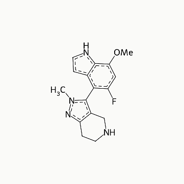 COc1cc(F)c(-c2c3c(nn2C)CCNC3)c2cc[nH]c12